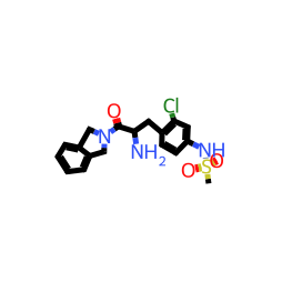 CS(=O)(=O)Nc1ccc(CC(N)C(=O)N2Cc3ccccc3C2)c(Cl)c1